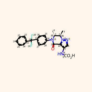 C[C@@H]1[C@@H](C)n2ncc(NC(=O)O)c2C(=O)N1c1ccc(C(F)(F)c2ccccc2)cc1